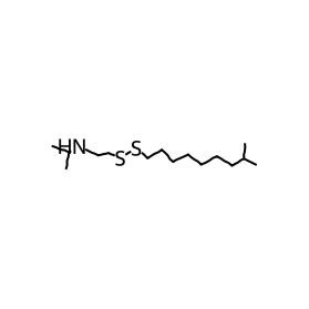 CC(C)CCCCCCCSSCCNC(C)C